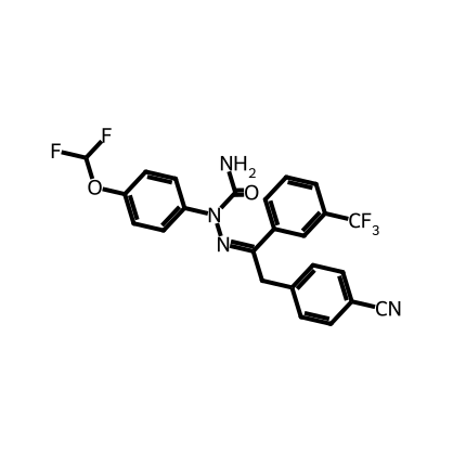 N#Cc1ccc(C/C(=N/N(C(N)=O)c2ccc(OC(F)F)cc2)c2cccc(C(F)(F)F)c2)cc1